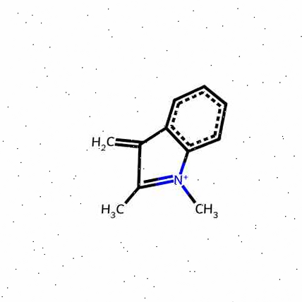 C=C1C(C)=[N+](C)c2ccccc21